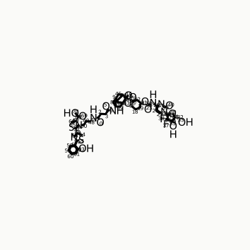 O=C(CCC(=O)NC12CC3CC(C1)C1(OO[C@@]4(CCCC(OC(=O)Nc5ccn([C@@H]6O[C@H](CO)[C@@H](O)C6(F)F)c(=O)n5)C4)O1)C(C3)C2)NCCCN1C([C@H]2CSC(c3ccccc3O)=N2)SC[C@H]1C(=O)O